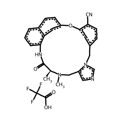 C[C@H]1C(=O)Nc2cccc3ccc(cc23)Oc2cc(ccc2C#N)Cn2cncc2CN1C.O=C(O)C(F)(F)F